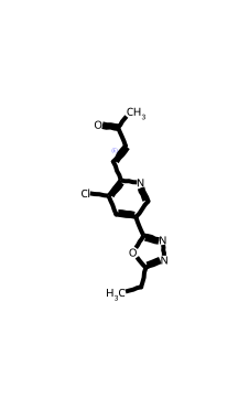 CCc1nnc(-c2cnc(/C=C/C(C)=O)c(Cl)c2)o1